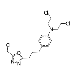 ClCCN(CCCl)c1ccc(CCCc2nnc(CCl)o2)cc1